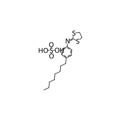 CCCCCCCCc1ccc(N=C2SCCS2)cc1.O=S(=O)(O)O